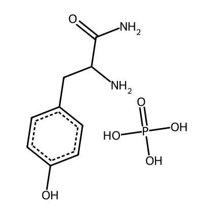 NC(=O)C(N)Cc1ccc(O)cc1.O=P(O)(O)O